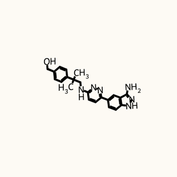 CC(C)(CNc1ccc(-c2ccc3[nH]nc(N)c3c2)nn1)c1ccc(CO)cc1